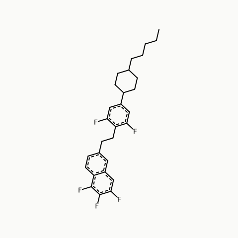 CCCCCC1CCC(c2cc(F)c(CCc3ccc4c(F)c(F)c(F)cc4c3)c(F)c2)CC1